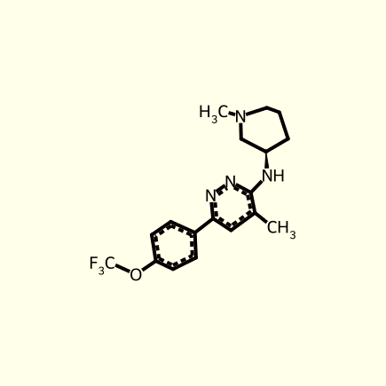 Cc1cc(-c2ccc(OC(F)(F)F)cc2)nnc1N[C@@H]1CCCN(C)C1